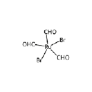 O=[CH][Ru]([Br])([Br])([CH]=O)[CH]=O